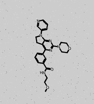 COCCNC(=O)c1cccc(-c2nc(N3CCOCC3)nc3c2CCN3c2cccnc2)c1